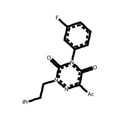 CC(=O)c1nn(CCC(C)C)c(=O)n(-c2cccc(F)c2)c1=O